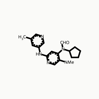 CNc1cnc(Nc2cncc(C)c2)cc1N(C=O)C1CCCC1